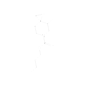 CCCCOC(=O)N1CCC2(CO2)C(F)C1